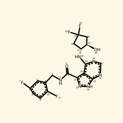 O=C(NCc1cc(F)ccc1F)c1n[nH]c2ncnc(N[C@@H]3CC(F)(F)C[C@H]3O)c12